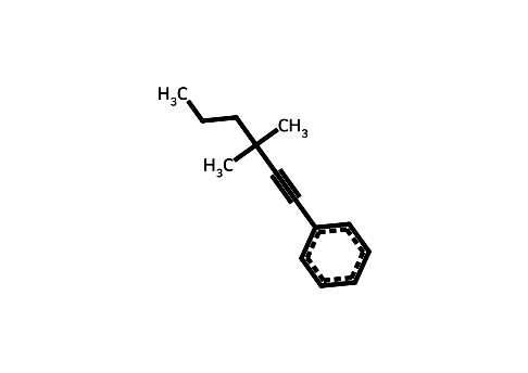 CCCC(C)(C)C#Cc1ccccc1